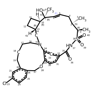 C[C@@H]1[C@@H](C)C/C=C/[C@@](O)(C(F)(F)F)[C@@H]2CC[C@H]2CN2CCCCc3cc(Cl)ccc3COc3ccc(cc32)C(=O)NS1(=O)=O